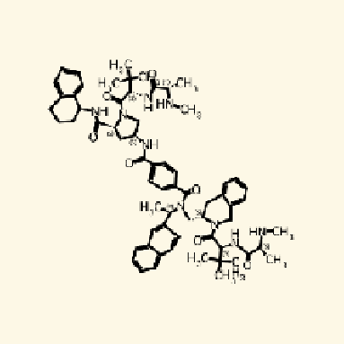 CN[C@@H](C)C(=O)N[C@H](C(=O)N1Cc2ccccc2C[C@H]1CN(C(=O)c1ccc(C(=O)N[C@H]2C[C@@H](C(=O)NC3CCCc4ccccc43)N(C(=O)[C@@H](NC(=O)[C@H](C)NC)C(C)(C)C)C2)cc1)[C@H](C)c1ccc2ccccc2c1)C(C)(C)C